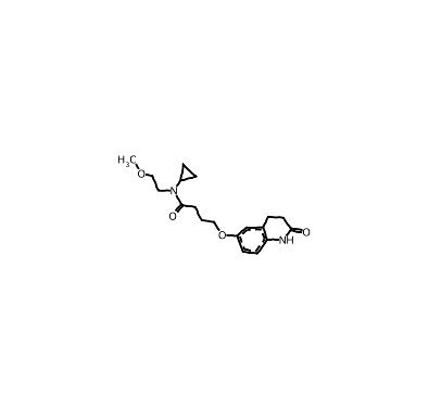 COCCN(C(=O)CCCOc1ccc2c(c1)CCC(=O)N2)C1CC1